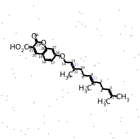 CC(C)=CCC/C(C)=C/CC/C(C)=C/COc1ccc2cc(C(=O)O)c(=O)oc2c1